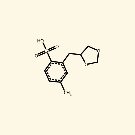 Cc1ccc(S(=O)(=O)O)c(CC2COCO2)c1